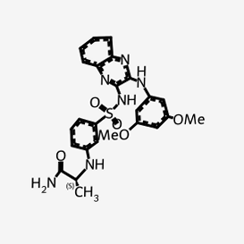 COc1cc(Nc2nc3ccccc3nc2NS(=O)(=O)c2cccc(N[C@@H](C)C(N)=O)c2)cc(OC)c1